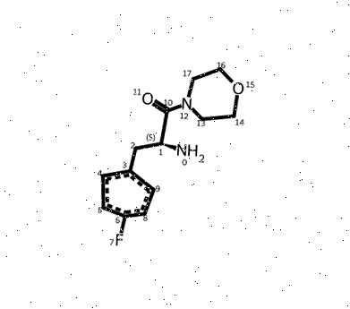 N[C@@H](Cc1ccc(F)cc1)C(=O)N1CCOCC1